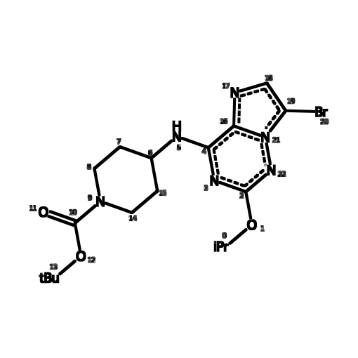 CC(C)Oc1nc(NC2CCN(C(=O)OC(C)(C)C)CC2)c2ncc(Br)n2n1